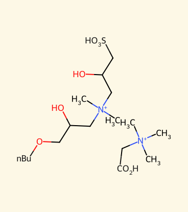 CCCCOCC(O)C[N+](C)(C)CC(O)CS(=O)(=O)O.C[N+](C)(C)CC(=O)O